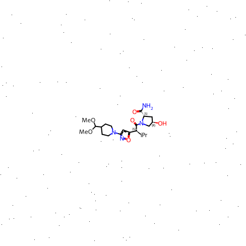 COC(OC)C1CCN(c2cc([C@@H](C(=O)N3C[C@H](O)C[C@H]3C(N)=O)C(C)C)on2)CC1